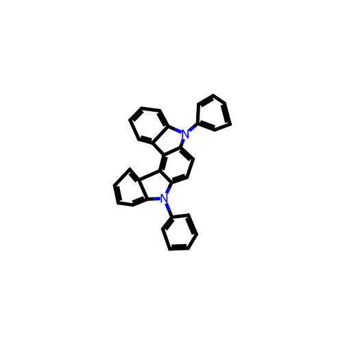 c1ccc(-n2c3ccccc3c3c4c5ccccc5n(-c5ccccc5)c4ccc32)cc1